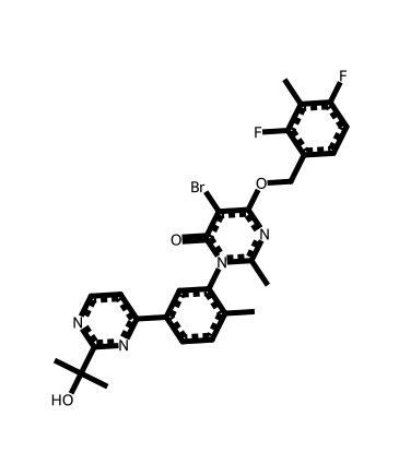 Cc1ccc(-c2ccnc(C(C)(C)O)n2)cc1-n1c(C)nc(OCc2ccc(F)c(C)c2F)c(Br)c1=O